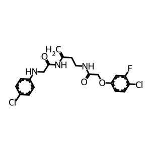 C=C(CCNC(=O)COc1ccc(Cl)c(F)c1)NC(=O)CNc1ccc(Cl)cc1